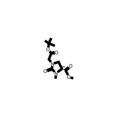 COC(=O)[C@H]1CN(CC(=O)OC(C)(C)C)C(=O)N1C